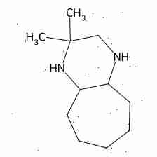 CC1(C)CNC2CCCCCC2N1